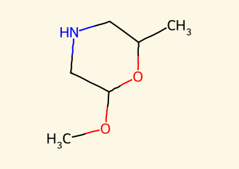 COC1CNCC(C)O1